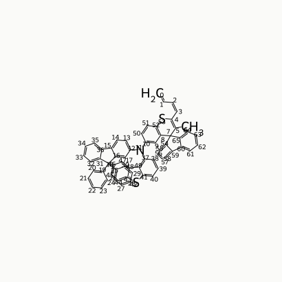 C=C/C=C\C1=C(C)C2(c3cc(N(c4ccc5c(c4)C(c4ccccc4)(c4ccccc4)c4ccccc4-5)c4cccc5sc6ccccc6c45)ccc3S1)c1ccccc1-c1ccccc12